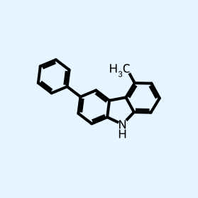 Cc1cccc2[nH]c3ccc(-c4ccccc4)cc3c12